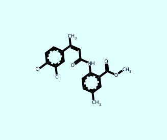 COC(=O)c1cc(C)ccc1NC(=O)/C=C(/C)c1ccc(Cl)c(Cl)c1